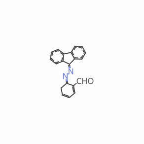 O=CC1=CC=CCC1=NN=C1c2ccccc2-c2ccccc21